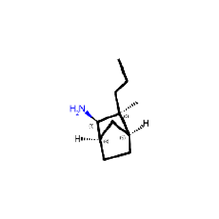 CCC[C@@]1(C)[C@H]2CC[C@H](C2)[C@H]1N